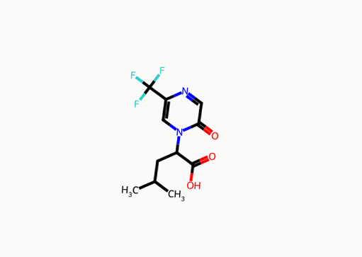 CC(C)CC(C(=O)O)n1cc(C(F)(F)F)ncc1=O